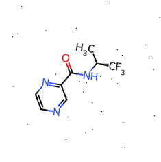 C[C@H](NC(=O)c1cnccn1)C(F)(F)F